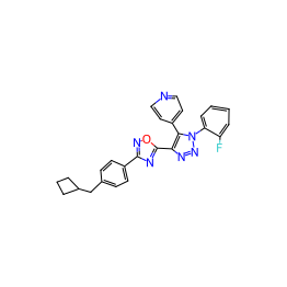 Fc1ccccc1-n1nnc(-c2nc(-c3ccc(CC4CCC4)cc3)no2)c1-c1ccncc1